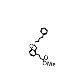 COC(=O)CCc1cccc2c1C[C@@H](CCCCc1ccccc1)O2